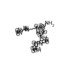 CC[C@@]1(O)C(=O)OCc2c1cc1n(c2=O)Cc2c-1nc1cc3c(cc1c2CNC(=O)CNC(=O)C(CCCCN)NC(=O)C(NC(=O)CCCCCn1cc(-c2cnc(S(C)(=O)=O)nc2)nn1)C(C)C)OCO3